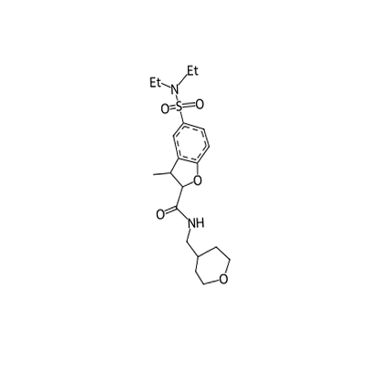 CCN(CC)S(=O)(=O)c1ccc2c(c1)C(C)C(C(=O)NCC1CCOCC1)O2